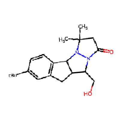 CC(C)(C)c1ccc2c(c1)CC1C(CO)N3C(=O)CC(C)(C)N3C21